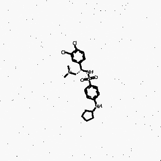 CN(C)C[C@@H](NS(=O)(=O)c1ccc(NC2CCCC2)cc1)c1ccc(Cl)c(Cl)c1